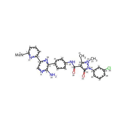 CNc1cccc(-c2cnc(N)c(-c3ccc(NC(=O)c4c(C)n(C)n(-c5cccc(Cl)c5)c4=O)cc3)n2)n1